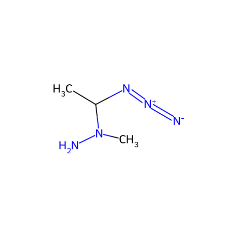 CC(N=[N+]=[N-])N(C)N